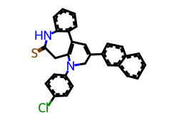 S=C1CC2=C(C=C(c3ccc4ccccc4c3)CN2c2ccc(Cl)cc2)c2ccccc2N1